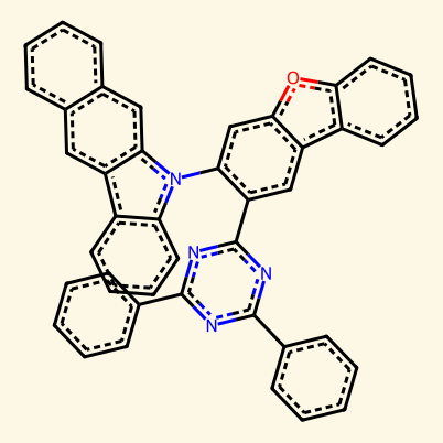 c1ccc(-c2nc(-c3ccccc3)nc(-c3cc4c(cc3-n3c5ccccc5c5cc6ccccc6cc53)oc3ccccc34)n2)cc1